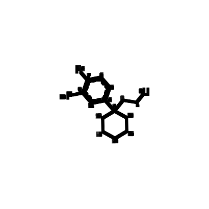 [Li][CH2]CC1(c2ccc(F)c(F)c2)CCCCC1